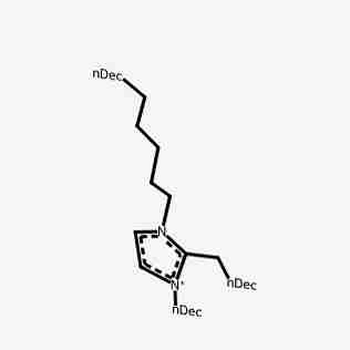 CCCCCCCCCCCCCCCn1cc[n+](CCCCCCCCCC)c1CCCCCCCCCCC